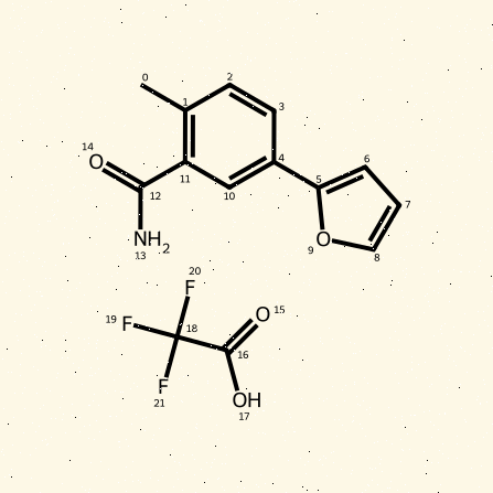 Cc1ccc(-c2ccco2)cc1C(N)=O.O=C(O)C(F)(F)F